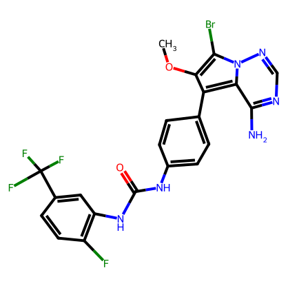 COc1c(-c2ccc(NC(=O)Nc3cc(C(F)(F)F)ccc3F)cc2)c2c(N)ncnn2c1Br